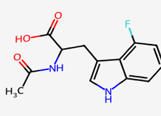 CC(=O)NC(Cc1c[nH]c2cccc(F)c12)C(=O)O